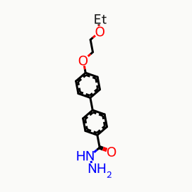 CCOCCOc1ccc(-c2ccc(C(=O)NN)cc2)cc1